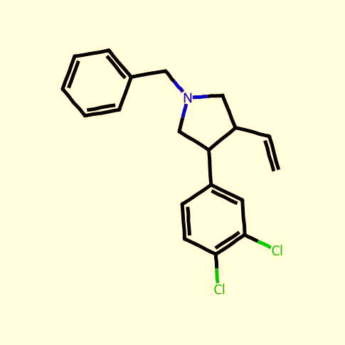 C=CC1CN(Cc2ccccc2)CC1c1ccc(Cl)c(Cl)c1